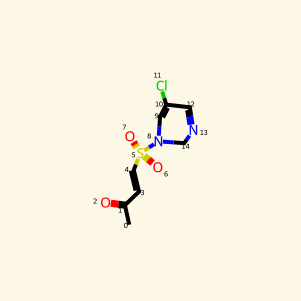 CC(=O)C=CS(=O)(=O)N1C=C(Cl)C=NC1